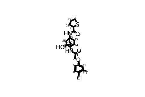 O=C(COc1ccc(Cl)c(F)c1)NC12CCC(NC(=O)C3CCCS3)(CC1)CC2O